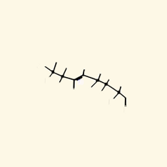 FCC(F)(F)C(F)(F)C(F)(F)/C(F)=C(\F)C(F)(F)C(F)(F)C(F)(F)F